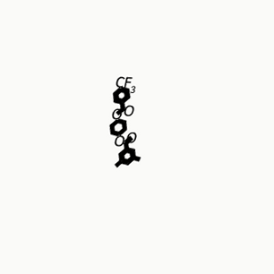 Cc1cc(C)cc(C(=O)OC2CCC(OC(=O)c3ccc(C(F)(F)F)cc3)CC2)c1